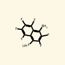 Bc1c(F)c(F)c(F)c2c(F)c(F)c(F)c(F)c12.[LiH]